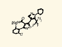 CNC(=O)c1c(-c2c(F)cccc2Cl)noc1-c1cnn(-c2ccccc2)c1C(F)(F)P